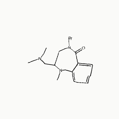 CC(C)N1CC(CN(C)C)N(C)c2ccccc2C1=O